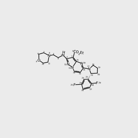 CCOC(=O)c1c(NCCN2CCOCC2)nn2ccc(N3CCC[C@@H]3c3cc(F)ccc3F)nc12